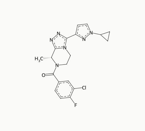 C[C@@H]1c2nnc(-c3ccn(C4CC4)n3)n2CCN1C(=O)c1ccc(F)c(Cl)c1